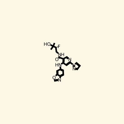 CC(C)(O)[C@H](F)CNC(=O)c1cnc(-n2cccn2)cc1Nc1ccc2ncoc2c1